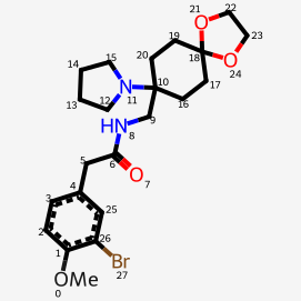 COc1ccc(CC(=O)NCC2(N3CCCC3)CCC3(CC2)OCCO3)cc1Br